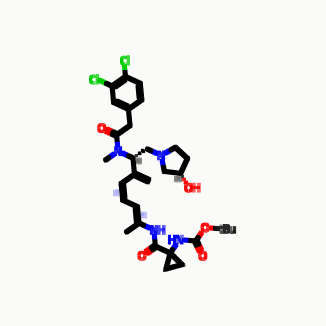 C=C(/C=C\C=C(/C)NC(=O)C1(NC(=O)OC(C)(C)C)CC1)[C@@H](CN1CC[C@H](O)C1)N(C)C(=O)Cc1ccc(Cl)c(Cl)c1